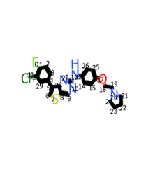 Fc1ccc(-c2csc3cnc(Nc4ccc(OCCN5CCCC5)cc4)nc23)cc1Cl